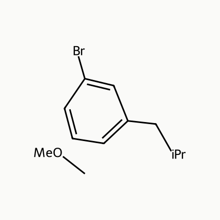 CC(C)Cc1cccc(Br)c1.COC